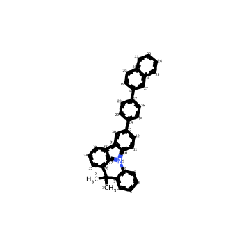 CC1(C)c2ccccc2-n2c3ccc(-c4ccc(-c5ccc6ccccc6c5)cc4)cc3c3cccc1c32